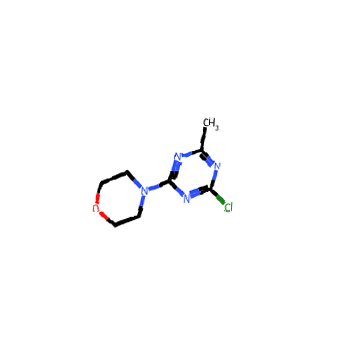 Cc1nc(Cl)nc(N2CCOCC2)n1